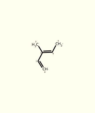 [CH]=CC(C)=C[CH2]